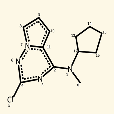 CN(c1nc(Cl)nn2cccc12)C1CCCC1